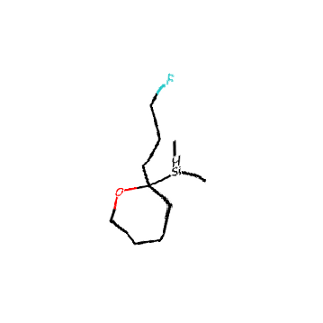 C[SiH](C)C1(CCCF)CCCCO1